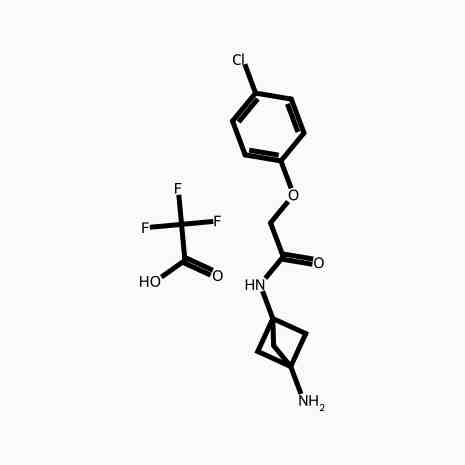 NC12CC(NC(=O)COc3ccc(Cl)cc3)(C1)C2.O=C(O)C(F)(F)F